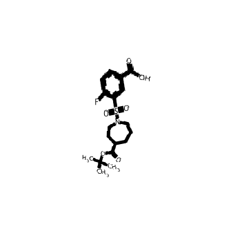 CC(C)(C)OC(=O)C1CCCN(S(=O)(=O)c2cc(C(=O)O)ccc2F)CC1